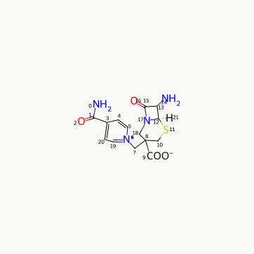 NC(=O)c1cc[n+](CC2(C(=O)[O-])CS[C@@H]3C(N)C(=O)N3C2)cc1